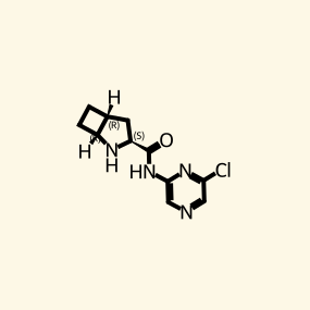 O=C(Nc1cncc(Cl)n1)[C@@H]1C[C@H]2CC[C@H]2N1